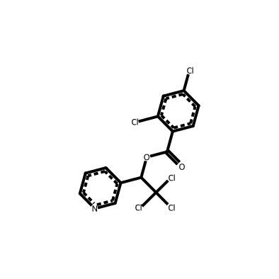 O=C(OC(c1cccnc1)C(Cl)(Cl)Cl)c1ccc(Cl)cc1Cl